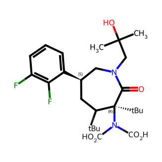 CC(C)(O)CN1C[C@H](c2cccc(F)c2F)CC(C(C)(C)C)[C@@](N(C(=O)O)C(=O)O)(C(C)(C)C)C1=O